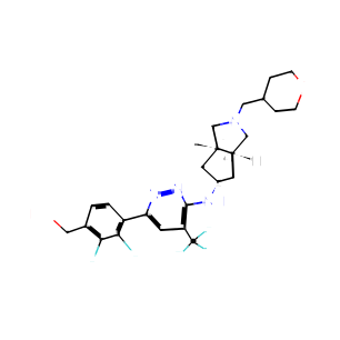 OCc1ccc(-c2cc(C(F)(F)F)c(N[C@H]3C[C@@H]4CN(CC5CCOCC5)C[C@@H]4C3)nn2)c(F)c1F